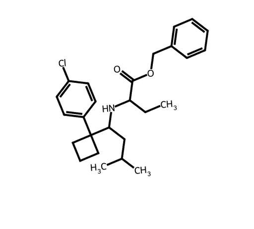 CCC(NC(CC(C)C)C1(c2ccc(Cl)cc2)CCC1)C(=O)OCc1ccccc1